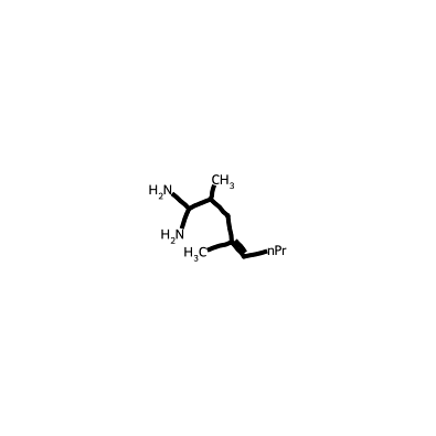 CCCC=C(C)CC(C)C(N)N